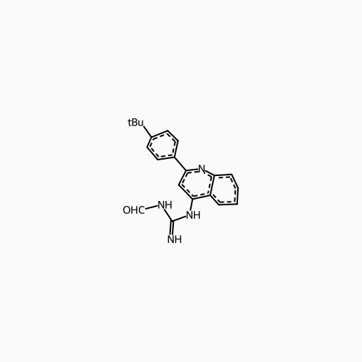 CC(C)(C)c1ccc(-c2cc(NC(=N)NC=O)c3ccccc3n2)cc1